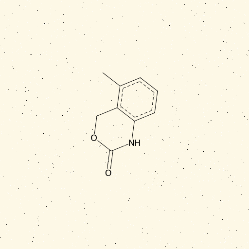 Cc1cccc2c1COC(=O)N2